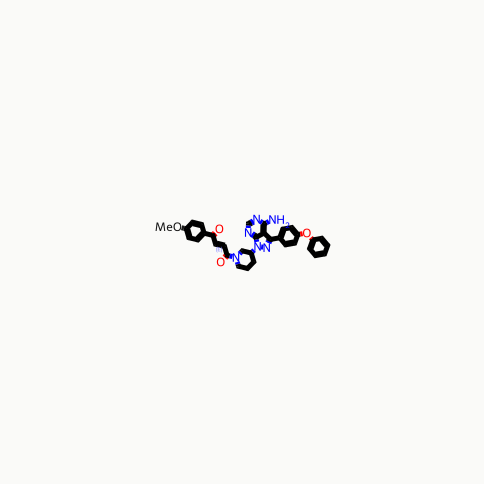 COc1ccc(C(=O)/C=C/C(=O)N2CCCC(n3nc(-c4ccc(Oc5ccccc5)cc4)c4c(N)ncnc43)C2)cc1